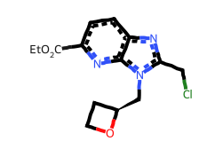 CCOC(=O)c1ccc2nc(CCl)n(C[C@@H]3CCO3)c2n1